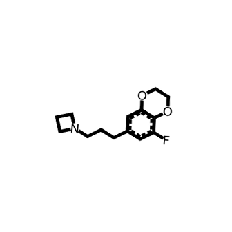 Fc1cc(CCCN2CCC2)cc2c1OCCO2